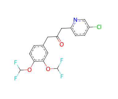 O=C(Cc1ccc(OC(F)F)c(OC(F)F)c1)Cc1ccc(Cl)cn1